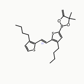 C=C1OB(c2cc(CCCC)c(/C=C/c3sccc3CCCC)s2)OC1(C)C